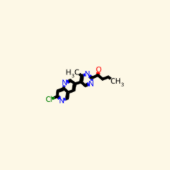 CCCC(=O)c1ncc(-c2cnc3cc(Cl)ncc3c2)c(C)n1